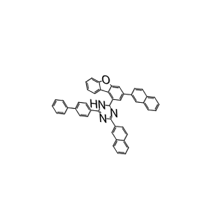 c1ccc(-c2ccc(C3=NC(c4ccc5ccccc5c4)=NC(c4cc(-c5ccc6ccccc6c5)cc5oc6ccccc6c45)N3)cc2)cc1